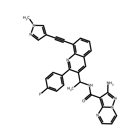 CC(NC(=O)c1c(N)nn2cccnc12)c1cc2cccc(C#Cc3cnn(C)c3)c2nc1-c1ccc(F)cc1